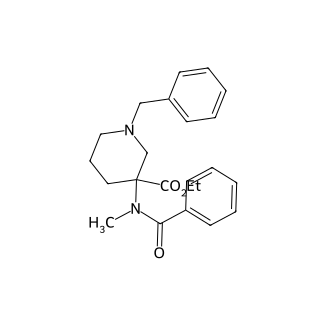 CCOC(=O)C1(N(C)C(=O)c2ccccc2)CCCN(Cc2ccccc2)C1